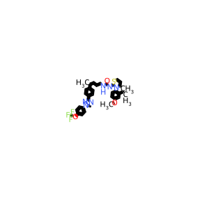 COc1ccc(N2CCCS/C2=N\C(=O)NCCCC(C)c2ccc(-c3ncn(-c4ccc(OC(F)(F)F)cc4)n3)cc2)c(C(C)C)c1